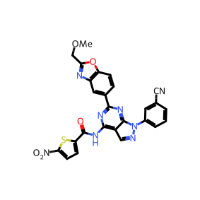 COCc1nc2cc(-c3nc(NC(=O)c4ccc([N+](=O)[O-])s4)c4cnn(-c5cccc(C#N)c5)c4n3)ccc2o1